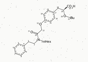 CCCCCCN(CCc1ccccc1)C(=O)COc1ccc(C[C@H](OC(C)CC)C(=O)O)cc1